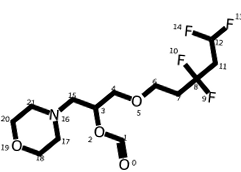 O=COC(COCCC(F)(F)CC(F)F)CN1CCOCC1